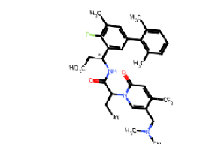 Cc1cc(-c2c(C)cccc2C)cc([C@H](CC(=O)O)NC(=O)C(CC(C)C)n2cc(CN(C)C)c(C(F)(F)F)cc2=O)c1F